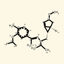 CO[C@@H]1C=C2[C@@H](C1)[C@@H]2CN(/N=C(\C)c1cnc(N)c(OC(F)F)c1)C(C)C